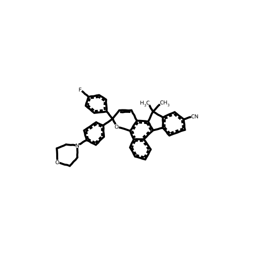 CC1(C)c2cc(C#N)ccc2-c2c1c1c(c3ccccc23)OC(c2ccc(F)cc2)(c2ccc(N3CCOCC3)cc2)C=C1